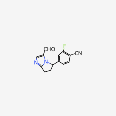 N#Cc1ccc(C2CCc3ncc(C=O)n32)cc1F